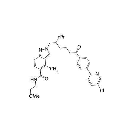 CCCC(CCCC(=O)c1ccc(-c2ccc(Cl)cn2)cc1)Cn1cc2c(C)c(C(=O)NCCOC)ccc2n1